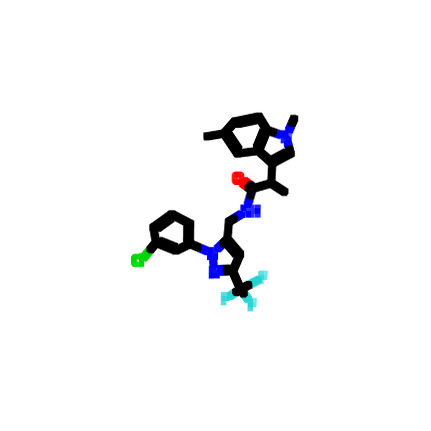 Cc1ccc2c(c1)c(C(C)C(=O)NCc1cc(C(F)(F)F)nn1-c1cccc(Cl)c1)cn2C